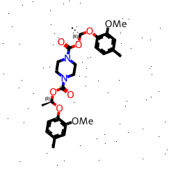 COc1cc(C)ccc1O[C@@H](C)OC(=O)N1CCN(C(=O)O[C@H](C)Oc2ccc(C)cc2OC)CC1